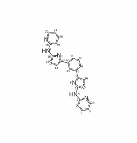 c1ccc(Nc2nc(-c3cccc(-c4csc(Nc5ccccn5)n4)c3)cs2)nc1